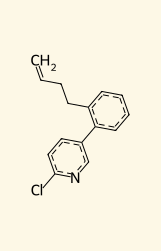 C=CCCc1ccccc1-c1ccc(Cl)nc1